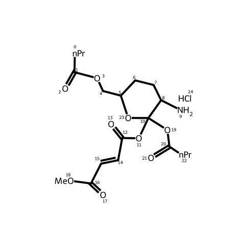 CCCC(=O)OCC1CCC(N)C(OC(=O)/C=C/C(=O)OC)(OC(=O)CCC)O1.Cl